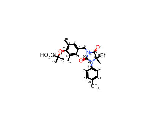 CCC1(C)C(=O)N(Cc2cc(C)c(OC(C)(C)C(=O)O)c(C)c2)C(=O)N1c1ccc(C(F)(F)F)cc1